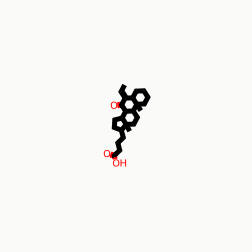 C/C=C1/C(=O)C2C3CCC(CCCC(=O)O)C3(C)CCC2C2(C)CCCCC12